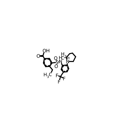 CCc1ccc(C(=O)O)cc1S(=O)(=O)Nc1cc(C(F)(F)F)ccc1N1CCCC[C@H]1C